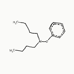 CCC[CH2][Al]([CH2]CCC)[O]c1ccccc1